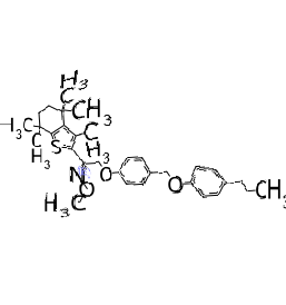 CCCc1ccc(OCc2ccc(OC/C(=N\OC)c3sc4c(c3C)C(C)(C)CCC4(C)C)cc2)cc1